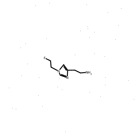 NCCc1cn(CCF)cn1